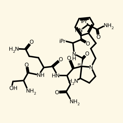 CC(C)C(NC(=O)C(NC(=O)[C@]1(C(=O)C(CC(N)=O)NC(=O)C(CCC(N)=O)NC(=O)C(N)CO)C(N)CCN1CCCc1ccccc1)C(C)C)C(N)=O